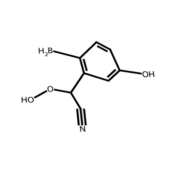 Bc1ccc(O)cc1C(C#N)OO